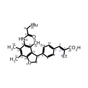 CC/C(=C\c1ccc(C2COc3c(C)c(C)c(NC(=O)CC(C)(C)C)c(C)c32)cc1)C(=O)O